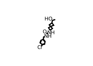 CC(O)C1CC2(CC(NC(=O)NCc3ccc(Cl)cc3)C2)C1